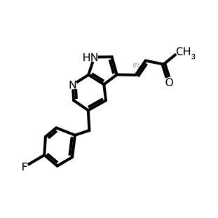 CC(=O)/C=C/c1c[nH]c2ncc(Cc3ccc(F)cc3)cc12